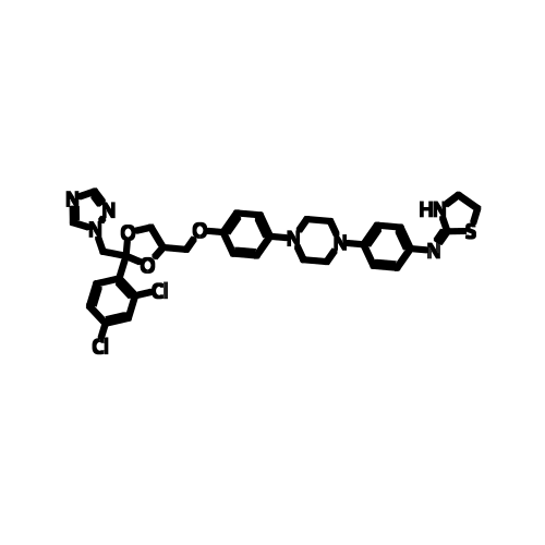 Clc1ccc(C2(Cn3cncn3)OCC(COc3ccc(N4CCN(c5ccc(/N=C6\NCCS6)cc5)CC4)cc3)O2)c(Cl)c1